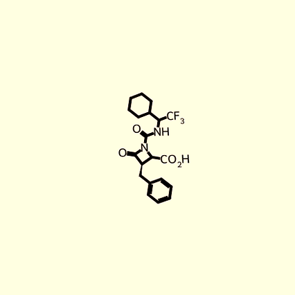 O=C(O)C1[C@@H](Cc2ccccc2)C(=O)N1C(=O)NC(C1CCCCC1)C(F)(F)F